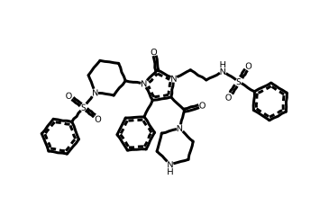 O=C(c1c(-c2ccccc2)n(C2CCCN(S(=O)(=O)c3ccccc3)C2)c(=O)n1CCNS(=O)(=O)c1ccccc1)N1CCNCC1